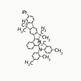 Cc1ccc(N(c2ccc(C)cc2C)c2cc3c(c4ccccc24)-c2cc4c(cc2C3(C)C)-c2ccc(C(C)C)cc2C4(C)C)c(C)c1